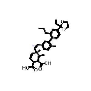 CCCc1cc(C2(CC)OCCO2)ccc1-c1cc(/C=C\C2(C)C=CC(C(=O)O)C(C(=O)O)=C2C)ccc1C